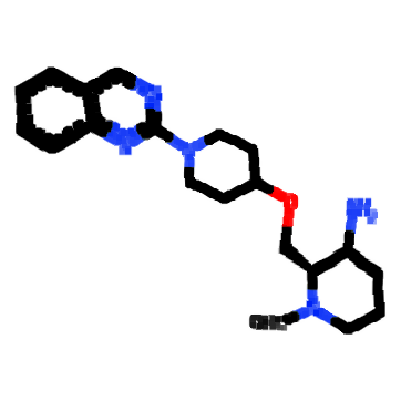 NC1CCCN(C=O)[C@H]1COC1CCN(c2ncc3ccccc3n2)CC1